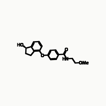 COCCNC(=O)c1ccc(Oc2cccc3c2CC[C@H]3O)cc1